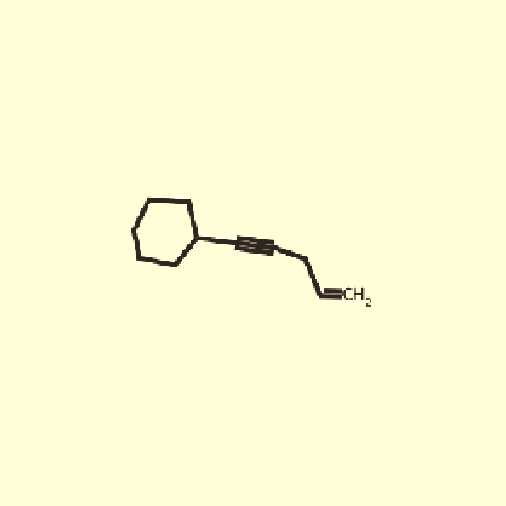 C=CCC#CC1CCCCC1